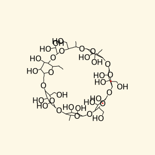 CCC1OC2OC3C(CO)OC(OC4C(C)OC(OC5C(CO)OC(OC6C(CO)OC(OC7C(C)OC(OC(C)C(CO)OC(C(O)O)OC1C(O)C2O)C(O)C7O)C(O)C6O)C(O)C5O)C(O)C4O)C(O)C3O